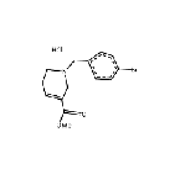 COC(=O)C1=CCCN(Cc2ccc(Br)cc2)C1.Cl